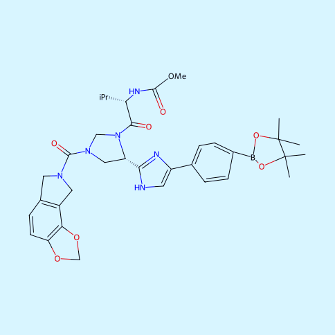 COC(=O)N[C@H](C(=O)N1CN(C(=O)N2Cc3ccc4c(c3C2)OCO4)C[C@H]1c1nc(-c2ccc(B3OC(C)(C)C(C)(C)O3)cc2)c[nH]1)C(C)C